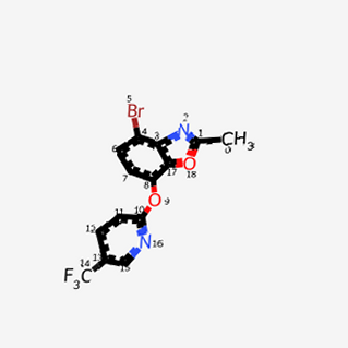 Cc1nc2c(Br)ccc(Oc3ccc(C(F)(F)F)cn3)c2o1